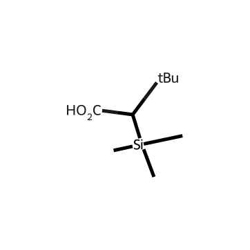 CC(C)(C)C(C(=O)O)[Si](C)(C)C